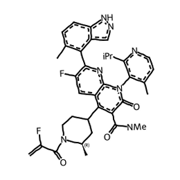 C=C(F)C(=O)N1CCC(c2c(C(=O)NC)c(=O)n(-c3c(C)ccnc3C(C)C)c3nc(-c4c(C)ccc5[nH]ncc45)c(F)cc23)C[C@H]1C